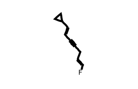 FC=CCC#CC=CC1CC1